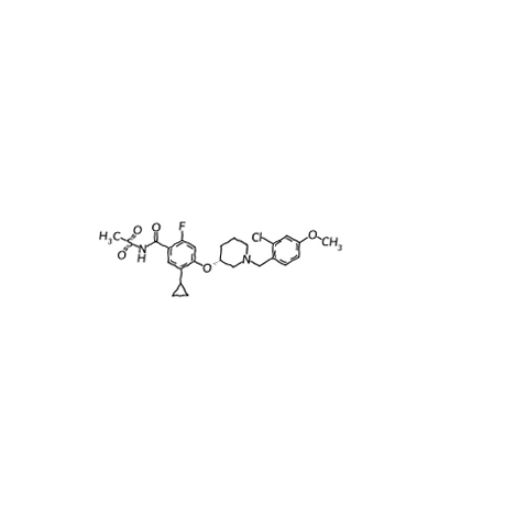 COc1ccc(CN2CCC[C@@H](Oc3cc(F)c(C(=O)NS(C)(=O)=O)cc3C3CC3)C2)c(Cl)c1